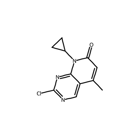 Cc1cc(=O)n(C2CC2)c2nc(Cl)ncc12